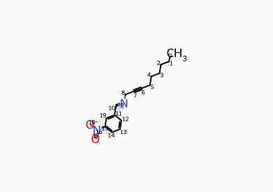 CCCCCCC#CC/N=C/c1cccc([N+](=O)[O-])c1